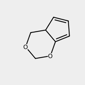 C1=CC2COCOC2=C1